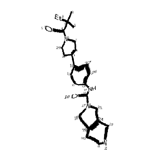 CCC(C)(C)C(=O)N1CC=C(c2ccc(NC(=O)N3Cc4ccncc4C3)cc2)CC1